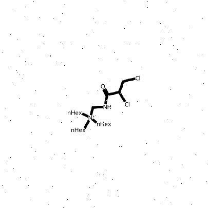 CCCCCC[N+](CCCCCC)(CCCCCC)CNC(=O)C(Cl)CCl